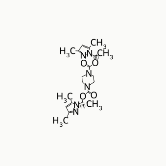 Cc1cc(C)n([C@@H](C)OC(=O)N2CCN(C(=O)O[C@H](C)n3nc(C)cc3C)CC2)n1